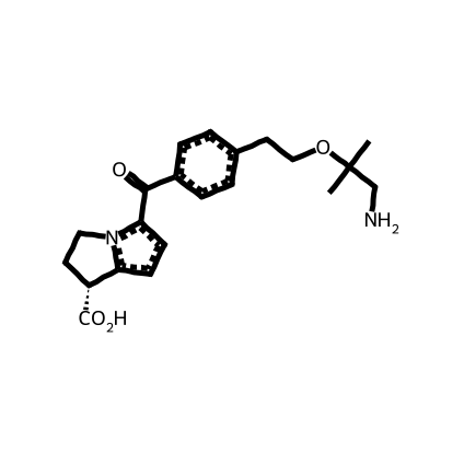 CC(C)(CN)OCCc1ccc(C(=O)c2ccc3n2CC[C@H]3C(=O)O)cc1